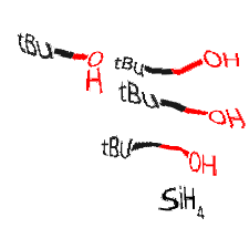 CC(C)(C)O.CC(C)(C)O.CC(C)(C)O.CC(C)(C)O.[SiH4]